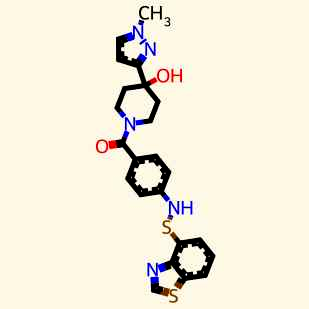 Cn1ccc(C2(O)CCN(C(=O)c3ccc(NSc4cccc5scnc45)cc3)CC2)n1